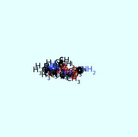 CC[C@H](C)[C@@H]([C@@H](CC(=O)N1CCC[C@H]1[C@H](OC)[C@@H](C)C(=O)NS(=O)(=O)c1ccc(N)cc1)OC)N(C)C(=O)[C@@H](NC(=O)C(NC)C(C)C)C(C)C